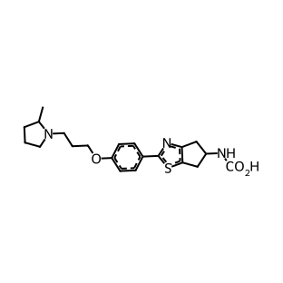 CC1CCCN1CCCOc1ccc(-c2nc3c(s2)CC(NC(=O)O)C3)cc1